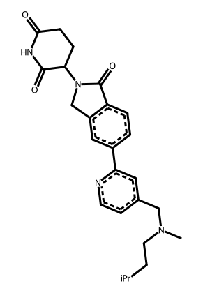 CC(C)CCN(C)Cc1ccnc(-c2ccc3c(c2)CN(C2CCC(=O)NC2=O)C3=O)c1